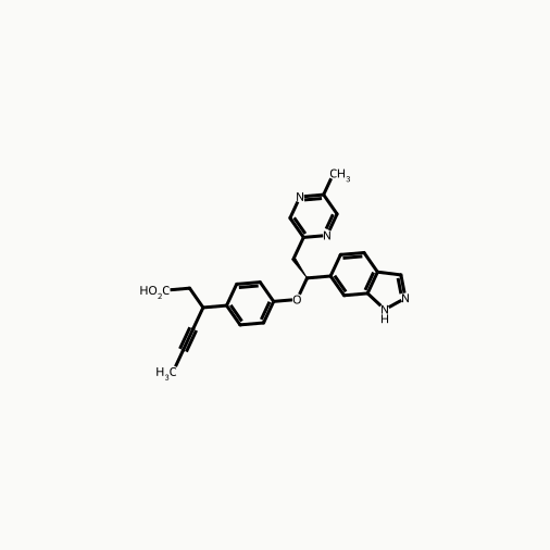 CC#CC(CC(=O)O)c1ccc(O[C@@H](Cc2cnc(C)cn2)c2ccc3cn[nH]c3c2)cc1